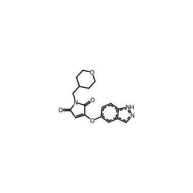 O=C1C=C(Oc2ccc3[nH]ncc3c2)C(=O)N1CC1CCOCC1